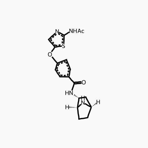 CC(=O)Nc1ncc(Oc2ccc(C(=O)N[C@@H]3C[C@H]4CC[C@@H]3N4)cc2)s1